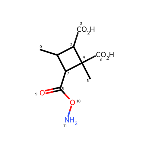 CC1C(C(=O)O)C(C)(C(=O)O)C1C(=O)ON